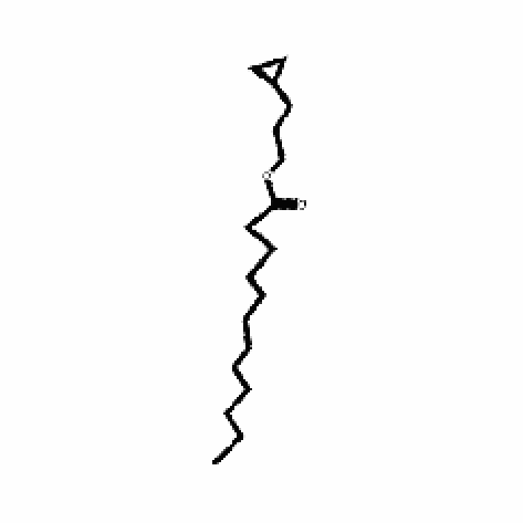 CCCCCCCCCCCC(=O)OCCCC1CC1